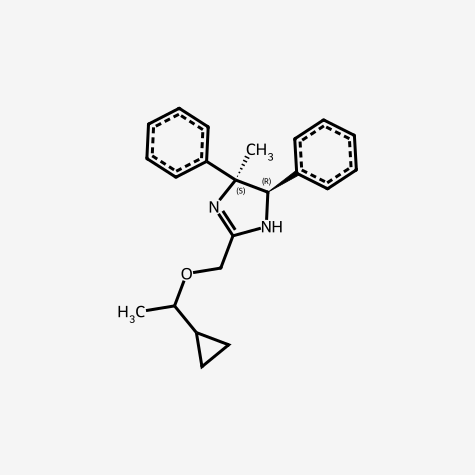 CC(OCC1=N[C@@](C)(c2ccccc2)[C@@H](c2ccccc2)N1)C1CC1